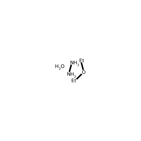 CCOCC.NN.O